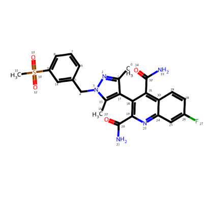 Cc1nn(Cc2cccc(S(C)(=O)=O)c2)c(C)c1-c1c(C(N)=O)nc2cc(F)ccc2c1C(N)=O